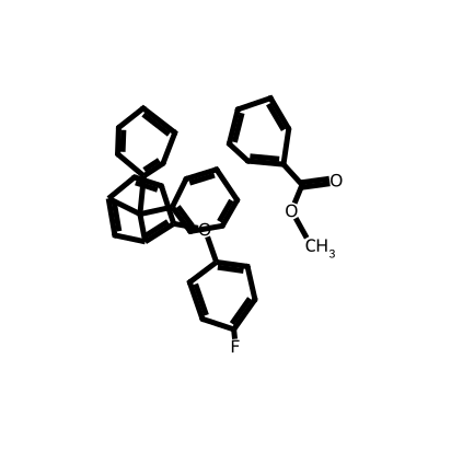 COC(=O)c1ccccc1.Fc1ccc(Oc2ccc3cc2C3(c2ccccc2)c2ccccc2)cc1